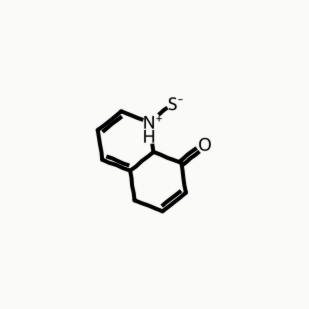 O=C1C=CCC2=CC=C[NH+]([S-])C12